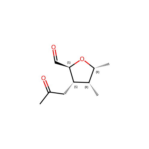 CC(=O)C[C@H]1[C@@H](C)[C@@H](C)O[C@@H]1C=O